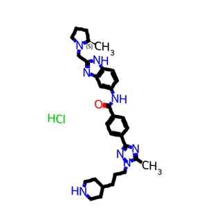 Cc1nc(-c2ccc(C(=O)Nc3ccc4[nH]c(CN5CCC[C@@H]5C)nc4c3)cc2)nn1CCCC1CCNCC1.Cl